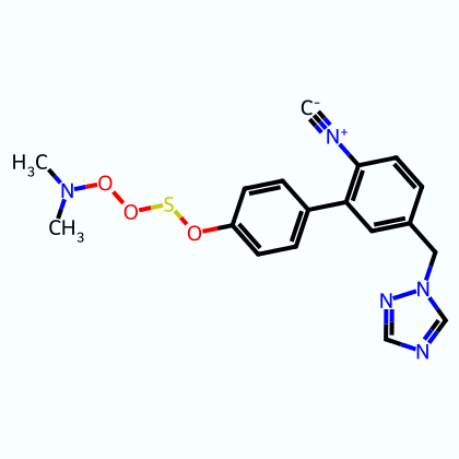 [C-]#[N+]c1ccc(Cn2cncn2)cc1-c1ccc(OSOON(C)C)cc1